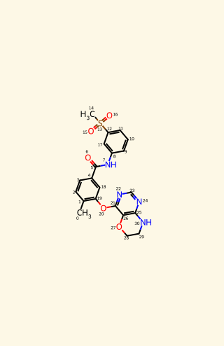 Cc1ccc(C(=O)Nc2cccc(S(C)(=O)=O)c2)cc1Oc1ncnc2c1OCCN2